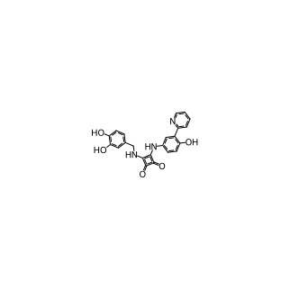 O=c1c(NCc2ccc(O)c(O)c2)c(Nc2ccc(O)c(-c3ccccn3)c2)c1=O